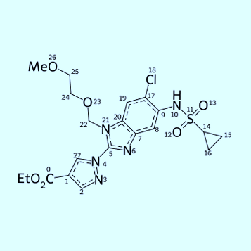 CCOC(=O)c1cnn(-c2nc3cc(NS(=O)(=O)C4CC4)c(Cl)cc3n2COCCOC)c1